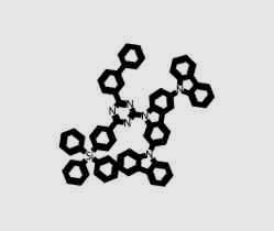 c1ccc(-c2cccc(-c3nc(-c4ccc([Si](c5ccccc5)(c5ccccc5)c5ccccc5)cc4)nc(-n4c5ccc(-n6c7ccccc7c7ccccc76)cc5c5ccc(-n6c7ccccc7c7ccccc76)cc54)n3)c2)cc1